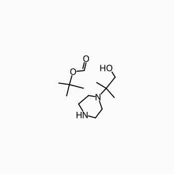 CC(C)(C)OC=O.CC(C)(CO)N1CCNCC1